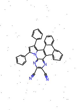 N#Cc1nc2c3c4ccccc4c4ccccc4c3c3c(-c4ccccc4)cc(-c4ccccc4)n3c2nc1C#N